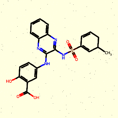 CC1C=C(S(=O)(=O)Nc2nc3ccccc3nc2Nc2ccc(O)c(C(=O)O)c2)C=CC1